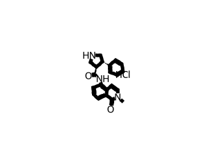 Cl.Cn1ccc2c(NC(=O)[C@H]3CNC[C@@H]3c3ccccc3)cccc2c1=O